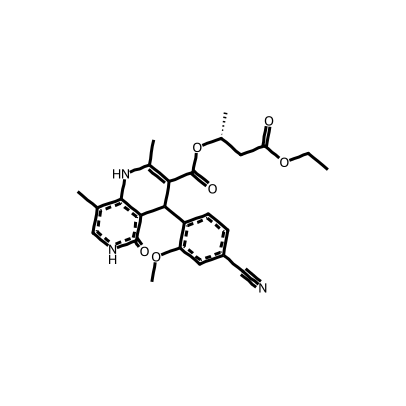 CCOC(=O)C[C@@H](C)OC(=O)C1=C(C)Nc2c(C)c[nH]c(=O)c2C1c1ccc(C#N)cc1OC